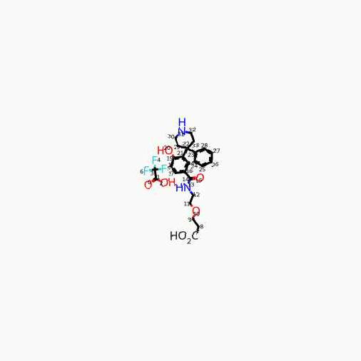 O=C(O)C(F)(F)F.O=C(O)CCOCCNC(=O)c1ccc(O)c(C2(c3ccccc3)CCNCC2)c1